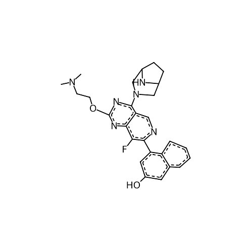 CN(C)CCOc1nc(N2CC3CCC(C2)N3)c2cnc(-c3cc(O)cc4ccccc34)c(F)c2n1